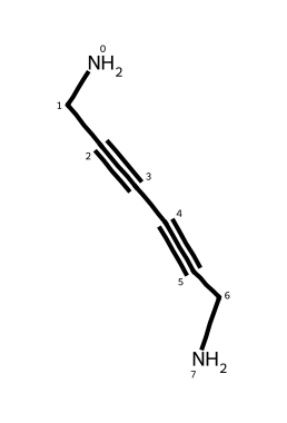 NCC#CC#CCN